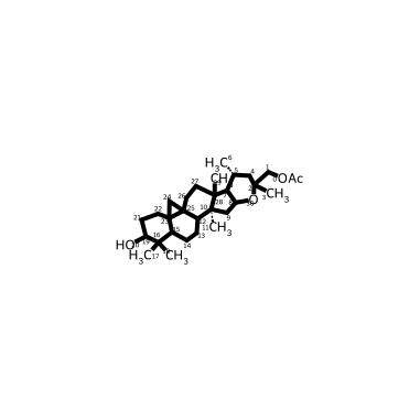 CC(=O)OCC1(C)C[C@@H](C)C2C(C[C@@]3(C)C4CCC5C(C)(C)C(O)CCC56CC46CCC23C)O1